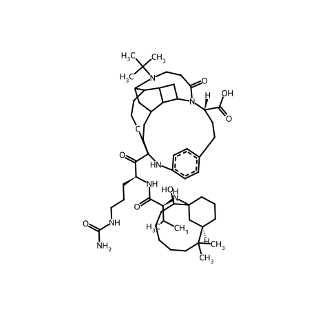 CC(C)[C@H](NC12CCC[C@H](C1)C(C)(C)CCCCCC2O)C(=O)N[C@@H](CCCNC(N)=O)C(=O)C12CCCC3C4CC5C4C(CC1)CC3N(C(C)(C)C)CCC(=O)N5[C@H](C(=O)O)CCc1ccc(cc1)N2